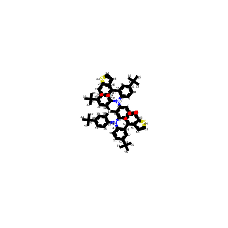 Cc1cc2c3c(c1)N(c1ccc(C(C)(C)C)cc1-c1cccc4sccc14)c1ccc(C(C)(C)C)cc1B3c1cc(C(C)(C)C)ccc1N2c1ccc(C(C)(C)C)cc1-c1cccc2sccc12